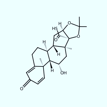 CC1(C)O[C@@H]2C[C@H]3[C@@H]4CCC5=CC(=O)C=C[C@]5(C)[C@H]4[C@@H](O)C[C@]3(C)[C@]2(C(=O)S)O1